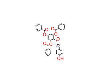 O=C(Oc1cc(OC(=O)c2ccccc2)c(C(=O)/C=C/c2ccc(O)cc2)c(OC(=O)c2ccccc2)c1)c1ccccc1